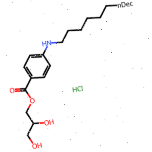 CCCCCCCCCCCCCCCCNc1ccc(C(=O)OCC(O)CO)cc1.Cl